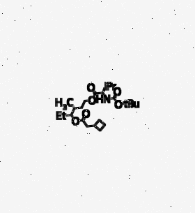 CCC(OC(=O)CC1CCC1)[C@H](C)CCOC(=O)[C@H](NC(=O)OC(C)(C)C)C(C)C